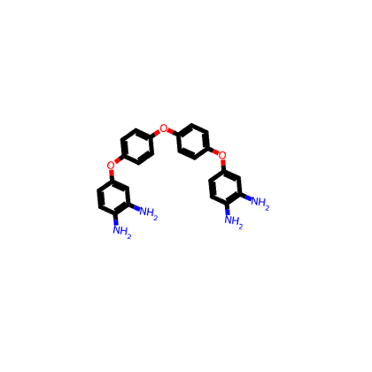 Nc1ccc(Oc2ccc(Oc3ccc(Oc4ccc(N)c(N)c4)cc3)cc2)cc1N